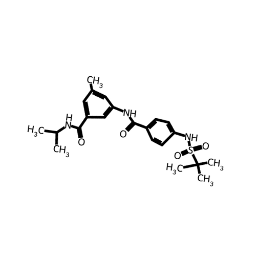 Cc1cc(NC(=O)c2ccc(NS(=O)(=O)C(C)(C)C)cc2)cc(C(=O)NC(C)C)c1